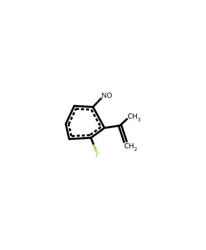 C=C(C)c1c(F)cccc1N=O